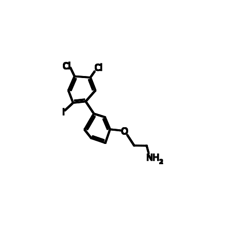 NCCOc1cccc(-c2cc(Cl)c(Cl)cc2I)c1